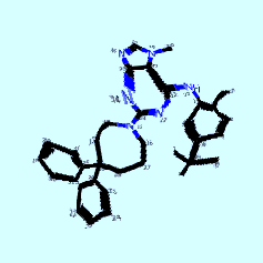 Cc1ccc(C(C)(C)C)cc1Nc1nc(N2CCCC(c3ccccc3)(c3ccccc3)CC2)nc2ncn(C)c12